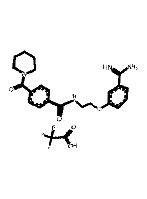 N=C(N)c1cccc(OCCNC(=O)c2ccc(C(=O)N3CCCCC3)cc2)c1.O=C(O)C(F)(F)F